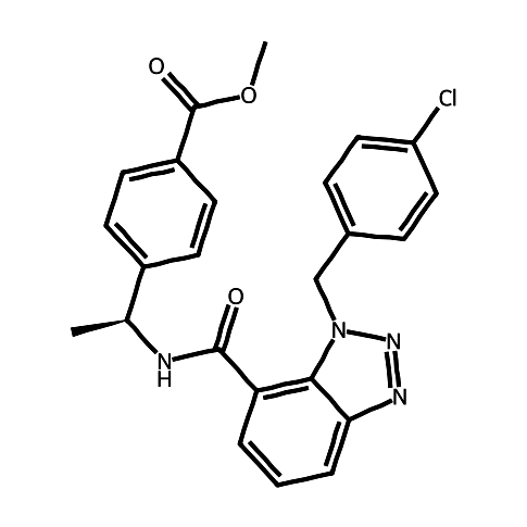 COC(=O)c1ccc([C@H](C)NC(=O)c2cccc3nnn(Cc4ccc(Cl)cc4)c23)cc1